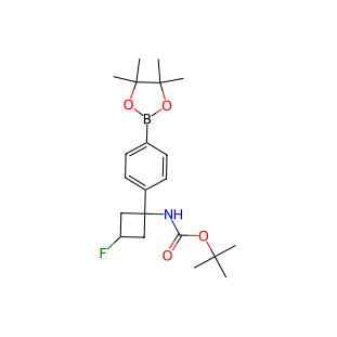 CC(C)(C)OC(=O)NC1(c2ccc(B3OC(C)(C)C(C)(C)O3)cc2)CC(F)C1